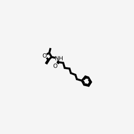 C=C1OC(C)C1NC(=O)CCCCCCc1ccccc1